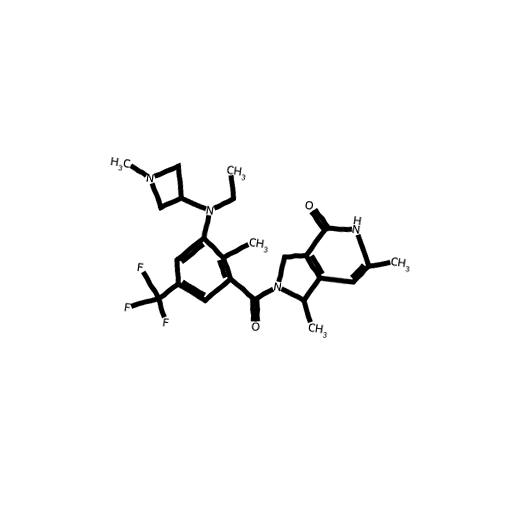 CCN(c1cc(C(F)(F)F)cc(C(=O)N2Cc3c(cc(C)[nH]c3=O)C2C)c1C)C1CN(C)C1